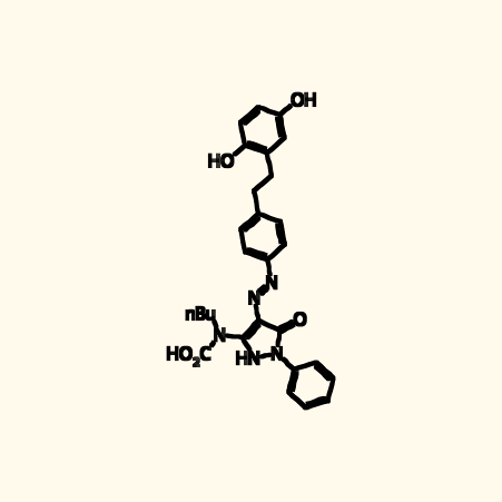 CCCCN(C(=O)O)c1[nH]n(-c2ccccc2)c(=O)c1N=Nc1ccc(CCc2cc(O)ccc2O)cc1